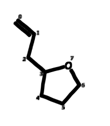 C=CCC1CCCO1